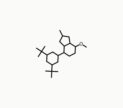 COC1CCC(C2CC(C(C)(C)C)CC(C(C)(C)C)C2)C2CC(C)CC12